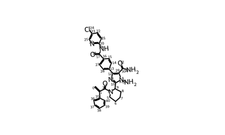 C=C(C(=O)N1CCCCC1c1nc(-c2ccc(C(=O)Nc3ccc(Cl)cn3)cc2)c(C(N)=O)n1N)c1ccccc1